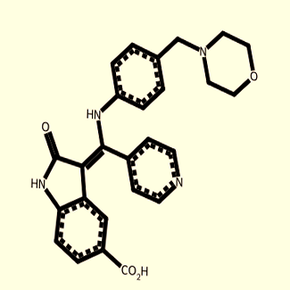 O=C1Nc2ccc(C(=O)O)cc2C1=C(Nc1ccc(CN2CCOCC2)cc1)c1ccncc1